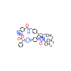 CCCCC(C)c1ccc(CNC(=O)c2ccc3nnn(OC(=O)C(c4ccccc4)N4CCN(c5ccc(-n6cnn(C(C)C)c6=O)cc5)CC4)c3c2)cc1